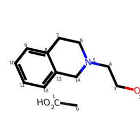 CC(=O)O.OCCN1CCc2ccccc2C1